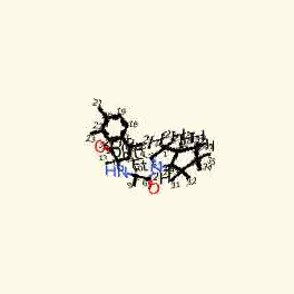 [2H]C1([2H])[C@@H](C=O)N(C(=O)[C@](C)(CC)N[C@@](C)(CC(C)c2ccc(C)c(C)c2)C(=O)OCC(C)C)[C@@]2([2H])C(C)(C)C(C)(C)C([2H])([2H])[C@@]12[2H]